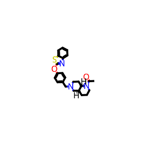 CC(=O)N1CCC[C@@H]2CN(Cc3ccc(Oc4nc5ccccc5s4)cc3)CC[C@@H]21